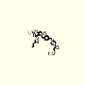 CCCCCNc1nc(N)nc2ccn(Cc3ccc(CN4CCN(C(=O)CCO)CC4)cc3OC)c12